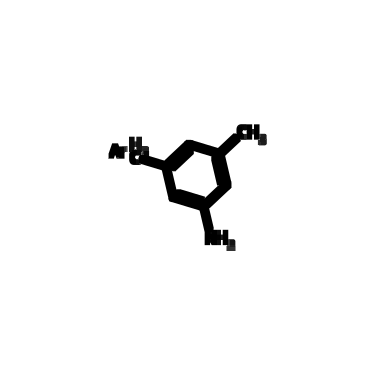 Cc1cc(C)cc(N)c1.[Ar]